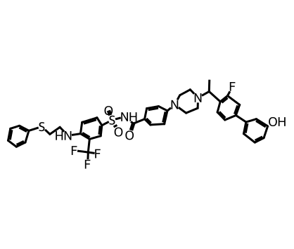 CC(c1ccc(-c2cccc(O)c2)cc1F)N1CCN(c2ccc(C(=O)NS(=O)(=O)c3ccc(NCCSc4ccccc4)c(C(F)(F)F)c3)cc2)CC1